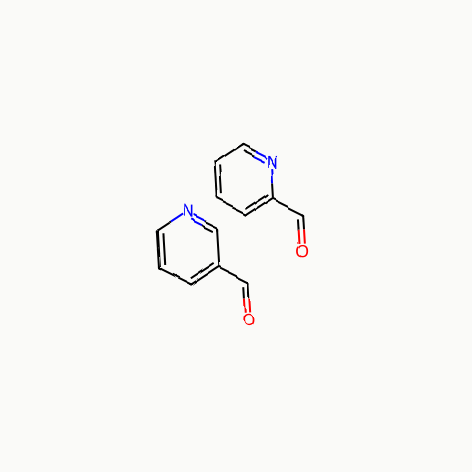 O=Cc1ccccn1.O=Cc1cccnc1